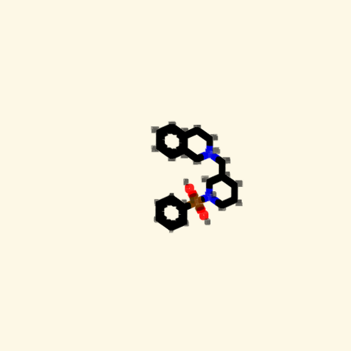 O=S(=O)(c1ccccc1)N1CCCC(CN2CCc3ccccc3C2)C1